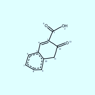 O=C(O)C1=Cc2ccccc2CC1=O